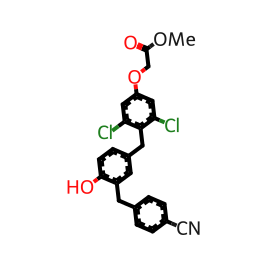 COC(=O)COc1cc(Cl)c(Cc2ccc(O)c(Cc3ccc(C#N)cc3)c2)c(Cl)c1